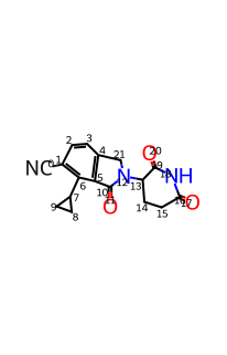 N#Cc1ccc2c(c1C1CC1)C(=O)N(C1CCC(=O)NC1=O)C2